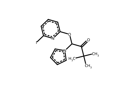 CC(C)(C)C(=O)C(Oc1cccc(I)n1)n1cccc1